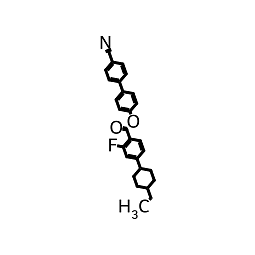 CCC1CCC(c2ccc(C(=O)Oc3ccc(-c4ccc(C#N)cc4)cc3)c(F)c2)CC1